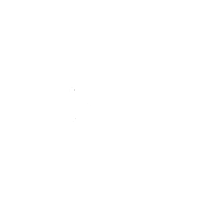 O=S1(=O)c2c[c]ccc2-c2ccccc21